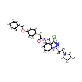 O=C(Cc1ccc(OCc2ccccc2)cc1)Nc1cccc2c1c(Cl)nn2CCN1CCCC1